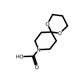 O=C(O)N1CCC2(CC1)OCCCO2